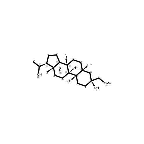 COC[C@]1(O)CC[C@H]2[C@H](CC[C@@H]3[C@@H]2CC[C@]2(C)[C@@H](C(C)O)CC[C@@H]32)C1